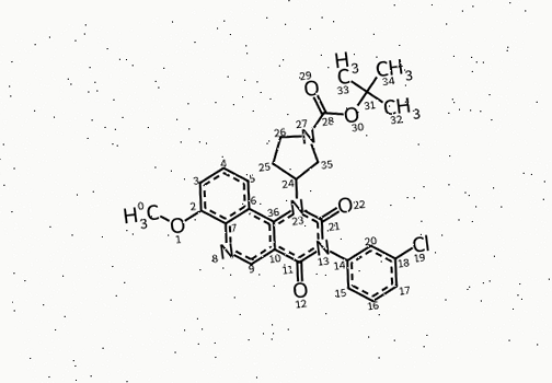 COc1cccc2c1ncc1c(=O)n(-c3cccc(Cl)c3)c(=O)n(C3CCN(C(=O)OC(C)(C)C)C3)c12